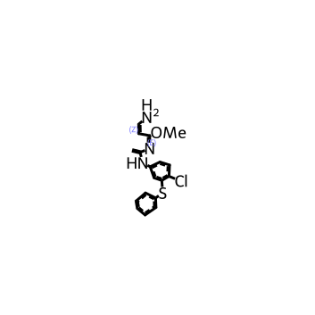 C=C(/N=C(\C=C/N)OC)Nc1ccc(Cl)c(Sc2ccccc2)c1